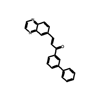 O=C(C=Cc1ccc2nccnc2c1)c1cccc(-c2ccccc2)c1